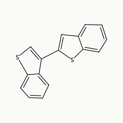 c1ccc2sc(-c3csc4ccccc34)cc2c1